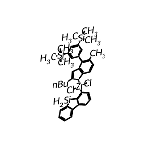 CCCCC1=Cc2c(ccc(C)c2-c2cc([Si](C)(C)C)cc([Si](C)(C)C)c2)[CH]1[Zr]([Cl])([Cl])[c]1cccc2c1[SiH2]c1ccccc1-2